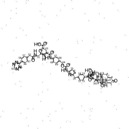 C[C@]12C=CC(=O)C=C1CC[C@@H]1[C@@H]2[C@@H](O)C[C@@]2(C)[C@H]1C[C@H]1O[C@@H](c3ccc(Cc4nc(NC(=O)OCc5ccc(NC(=O)[C@H](CCC(=O)O)NC(=O)CNC(=O)Cc6ccc(-c7nncnn7)cc6)cc5)cs4)cc3)O[C@]12C(=O)CO